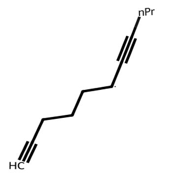 C#CCCC[CH]C#CCCC